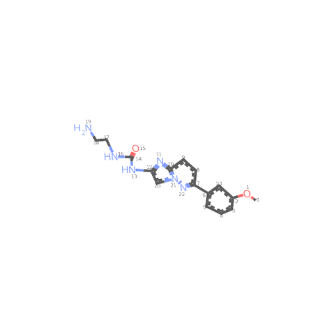 COc1cccc(-c2ccc3nc(NC(=O)NCCN)cn3n2)c1